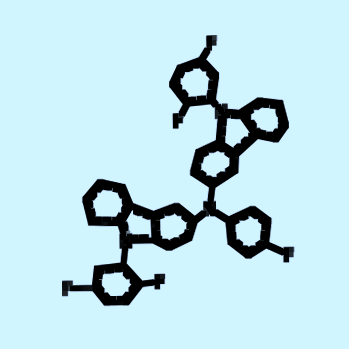 Fc1ccc(N(c2ccc3c(c2)c2ccccc2n3-c2cc(F)ccc2F)c2ccc3c(c2)c2ccccc2n3-c2cc(F)ccc2F)cc1